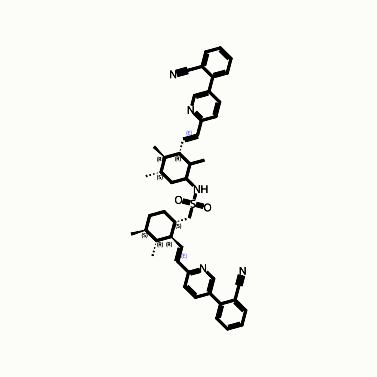 CC1C(NS(=O)(=O)C[C@H]2CC[C@H](C)[C@@H](C)[C@@H]2/C=C/c2ccc(-c3ccccc3C#N)cn2)C[C@H](C)[C@@H](C)[C@@H]1/C=C/c1ccc(-c2ccccc2C#N)cn1